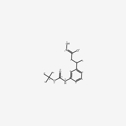 CC(CC(Cl)=NO)c1cccc(NC(=O)OC(C)(C)C)c1